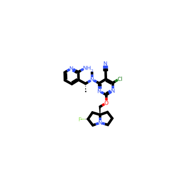 C[C@H](c1cccnc1N)N(C)c1nc(OC[C@@]23CCCN2C[C@H](F)C3)nc(Cl)c1C#N